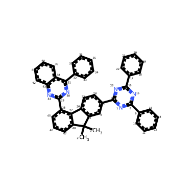 CC1(C)c2cc(-c3nc(-c4ccccc4)nc(-c4ccccc4)n3)ccc2-c2c(-c3nc(-c4ccccc4)c4ccccc4n3)cccc21